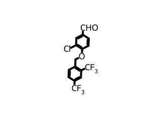 O=Cc1ccc(OCc2ccc(C(F)(F)F)cc2C(F)(F)F)c(Cl)c1